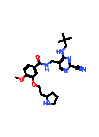 COc1ccc(C(=O)NCc2cnc(C#N)nc2NCC(C)(C)C)cc1OCCC1CCCN1